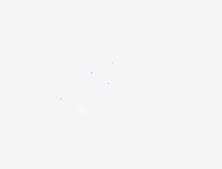 COC(=O)c1cnc(C2(c3cc4c(cc3C)C(C)(C)CC4(C)C)CC2)nc1